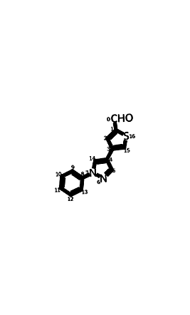 O=Cc1cc(-c2cnn(-c3ccccc3)c2)cs1